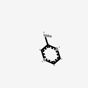 CNc1bccbc1